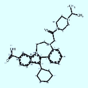 CC(C)N1CCN(C(=O)CN2CCn3c(c(C4CCCCC4)c4ccc(C(=O)O)cc43)-c3ccccc32)CC1